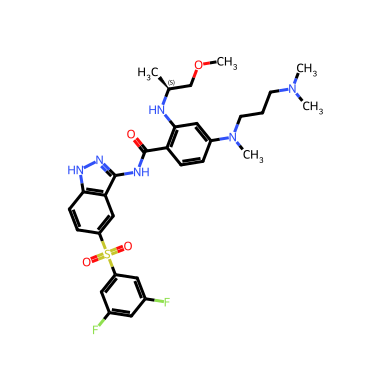 COC[C@H](C)Nc1cc(N(C)CCCN(C)C)ccc1C(=O)Nc1n[nH]c2ccc(S(=O)(=O)c3cc(F)cc(F)c3)cc12